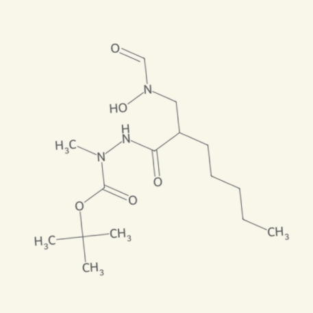 CCCCCC(CN(O)C=O)C(=O)NN(C)C(=O)OC(C)(C)C